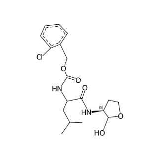 CC(C)CC(NC(=O)OCc1ccccc1Cl)C(=O)N[C@H]1CCOC1O